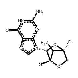 CC[C@]12CO[C@@H](C1C)[C@H](n1cnc3c(=O)[nH]c(N)nc31)O2